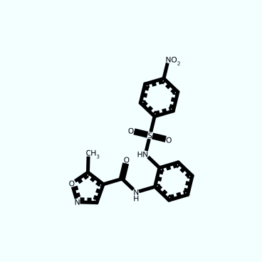 Cc1oncc1C(=O)Nc1ccccc1NS(=O)(=O)c1ccc([N+](=O)[O-])cc1